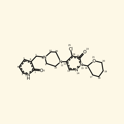 O=c1[nH]cccc1CN1CCN(c2cnn(C3CCCCO3)c(=O)c2Cl)CC1